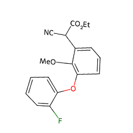 CCOC(=O)C(C#N)c1cccc(Oc2ccccc2F)c1OC